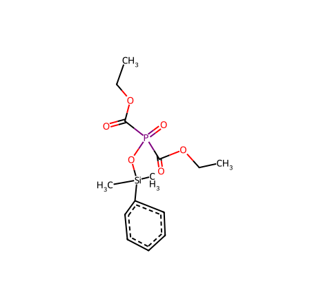 CCOC(=O)P(=O)(O[Si](C)(C)c1ccccc1)C(=O)OCC